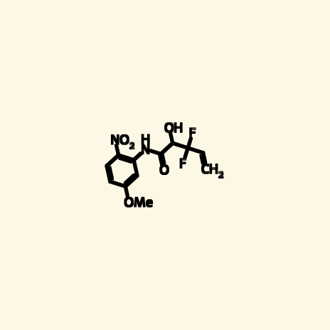 C=CC(F)(F)C(O)C(=O)Nc1cc(OC)ccc1[N+](=O)[O-]